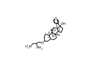 C[C@]12CCC(OCC(N)CN)CC1CC[C@@H]1[C@H]2CC[C@]2(C)C(O)(c3ccoc3)CC[C@@]12O